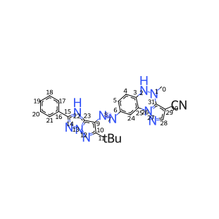 CN1Nc2ccc(/N=N/c3c(C(C)(C)C)nn4nc(-c5ccccc5)[nH]c34)cc2-n2ncc(C#N)c21